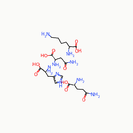 NC(=O)CC(N)C(=O)O.NC(=O)CCC(N)C(=O)O.NC(Cc1c[nH]cn1)C(=O)O.NCCCCC(N)C(=O)O